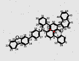 c1ccc(-c2ccc(N(c3ccc(-c4ccc5c(c4)oc4ccccc45)cc3)c3ccccc3-c3ccc4oc5ccc6ccccc6c5c4c3)cc2)cc1